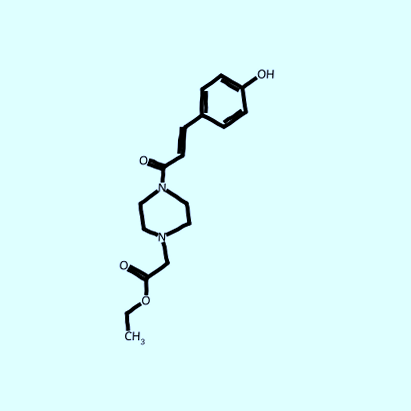 CCOC(=O)CN1CCN(C(=O)C=Cc2ccc(O)cc2)CC1